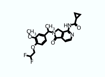 COc1cc(C(C)N2Cc3c(ccnc3NC(=O)C3CC3)C2=O)ccc1OCC(F)F